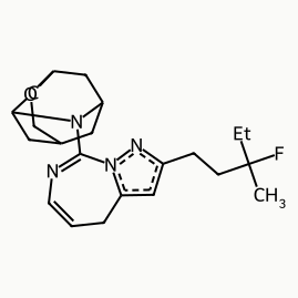 CCC(C)(F)CCc1cc2n(n1)C(N1C3CC4COC(C3)CC1C4)=NC=CC2